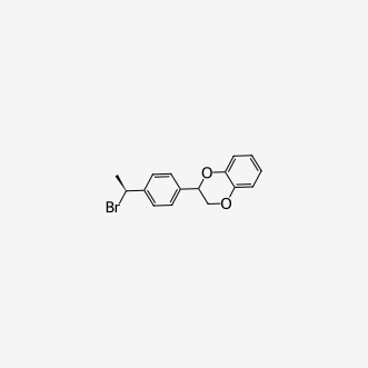 C[C@H](Br)c1ccc(C2COc3ccccc3O2)cc1